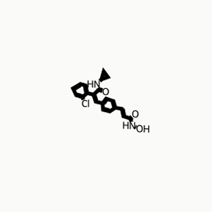 O=C(C=Cc1ccc(C=C(C(=O)NC2CC2)c2ccccc2Cl)cc1)NO